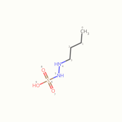 CCCCNNS(=O)(=O)O